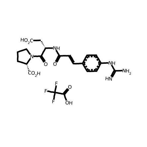 N=C(N)Nc1ccc(C=CC(=O)N[C@@H](CC(=O)O)C(=O)N2CCC[C@H]2C(=O)O)cc1.O=C(O)C(F)(F)F